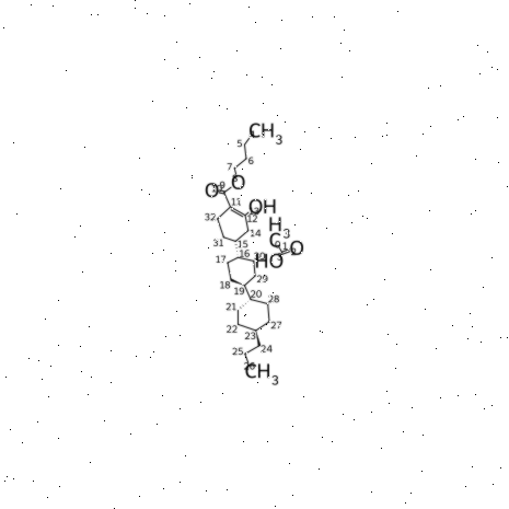 CC(=O)O.CCCCOC(=O)C1=C(O)CC([C@H]2CC[C@H]([C@H]3CC[C@H](CCC)CC3)CC2)CC1